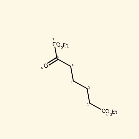 CCOC(=O)CCCCC(=O)C(=O)OCC